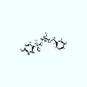 Cc1ccc(S(=O)(=O)OC[C@H](C)OCc2ccccc2)cc1